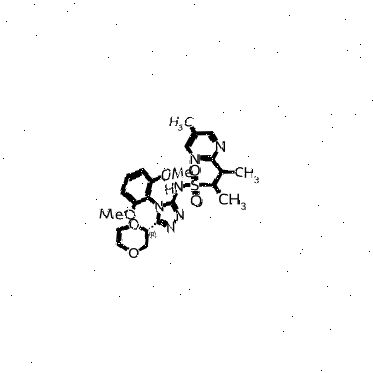 COc1cccc(OC)c1-n1c(NS(=O)(=O)C(C)C(C)c2ncc(C)cn2)nnc1[C@@H]1COCCO1